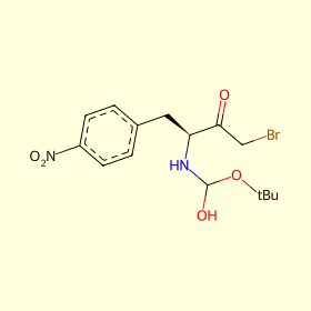 CC(C)(C)OC(O)N[C@@H](Cc1ccc([N+](=O)[O-])cc1)C(=O)CBr